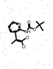 CC(=C(Cl)Cl)c1cccnc1NC(=O)OC(C)(C)C